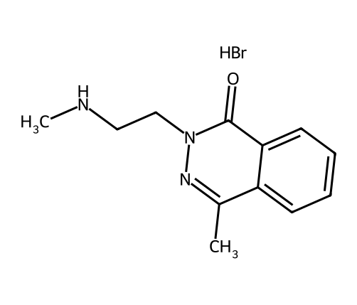 Br.CNCCn1nc(C)c2ccccc2c1=O